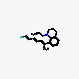 C=CCN1CCCc2cccc(C(=CC=CC=CF)C(=O)O)c21